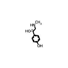 CNC[C@@H](O)c1ccc(O)cc1